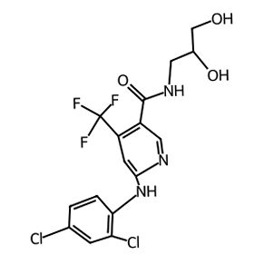 O=C(NCC(O)CO)c1cnc(Nc2ccc(Cl)cc2Cl)cc1C(F)(F)F